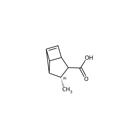 C[C@H]1C(C(=O)O)C2C=C3C2C31